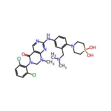 CN(C)Cc1cc(Nc2ncc3c(n2)N(C)CN(c2c(Cl)cccc2Cl)C3=O)ccc1N1CCS(O)(O)CC1